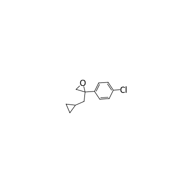 Clc1ccc(C2(CC3CC3)CO2)cc1